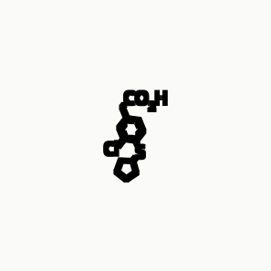 O=C(O)Cc1ccc(SC2CCCC2)c(Cl)c1